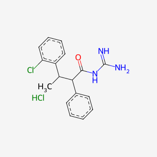 CC(c1ccccc1Cl)C(C(=O)NC(=N)N)c1ccccc1.Cl